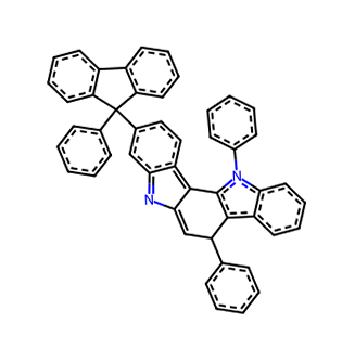 C1=C2N=c3cc(C4(c5ccccc5)c5ccccc5-c5ccccc54)ccc3=C2c2c(c3ccccc3n2-c2ccccc2)C1c1ccccc1